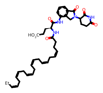 CC/C=C\C/C=C\C/C=C\C/C=C\C/C=C\C/C=C\CCC(=O)N[C@@H](CCC(=O)O)C(=O)Nc1cccc2c1CN(C1CCC(=O)NC1=O)C2=O